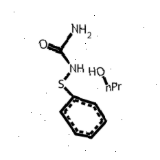 CCCO.NC(=O)NSc1ccccc1